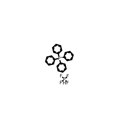 F[PH-](F)(F)F.c1ccc([P+](c2ccccc2)(c2ccccc2)c2ccccc2)cc1